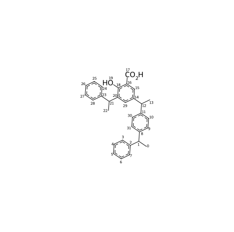 CC(c1ccccc1)c1ccc(C(C)c2cc(C(=O)O)c(O)c(C(C)c3ccccc3)c2)cc1